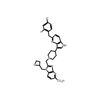 O=C(O)c1ccc2c(n1)nc(CN1CCC(c3c[nH]c4ccc(Cc5ccc(Cl)cc5F)nc34)CC1)n2CC1CCO1